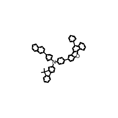 CC1(C)c2ccccc2-c2ccc(N(c3ccc(-c4ccc5ccccc5c4)cc3)c3ccc(-c4ccc5oc6c7ccccc7c(-c7ccccc7)cc6c5c4)cc3)cc21